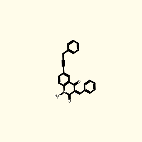 CN1C(=O)/C(=C/c2ccccc2)C(=O)c2cc(C#CCc3ccccc3)ccc21